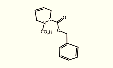 O=C(O)N1CC=CCN1C(=O)OCc1ccccc1